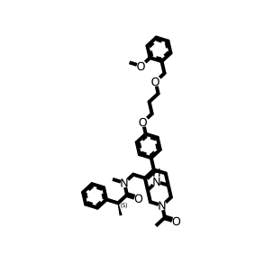 COc1ccccc1COCCCOc1ccc(C2=C(CN(C)C(=O)[C@@H](C)c3ccccc3)C3CN(C(C)=O)CC(C2)N3)cc1